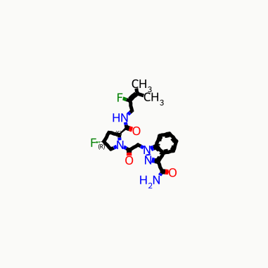 CC(C)=C(F)CNC(=O)[C@@H]1C[C@@H](F)CN1C(=O)Cn1nc(C(N)=O)c2ccccc21